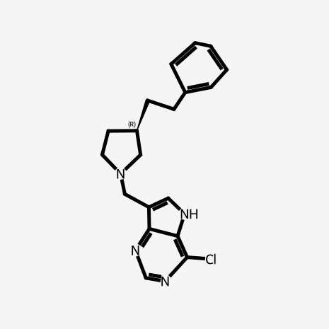 Clc1ncnc2c(CN3CC[C@@H](CCc4ccccc4)C3)c[nH]c12